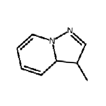 CC1C=NN2C=CC=CC12